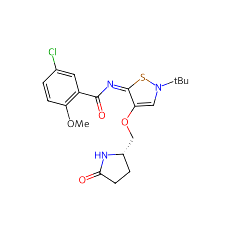 COc1ccc(Cl)cc1C(=O)N=c1sn(C(C)(C)C)cc1OC[C@@H]1CCC(=O)N1